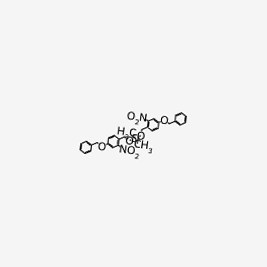 C[Si](C)(OCc1ccc(OCc2ccccc2)cc1[N+](=O)[O-])OCc1ccc(OCc2ccccc2)cc1[N+](=O)[O-]